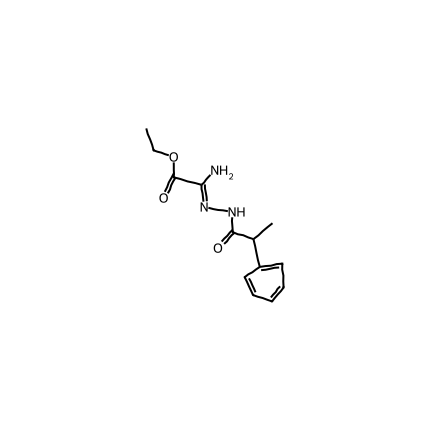 CCOC(=O)C(N)=NNC(=O)C(C)c1ccccc1